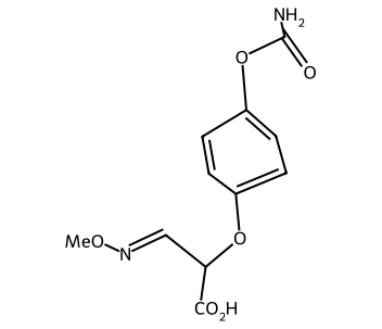 CON=CC(Oc1ccc(OC(N)=O)cc1)C(=O)O